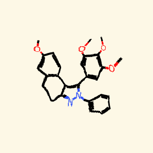 COc1ccc2c(c1)CCc1nn(-c3ccccc3)c(-c3cc(OC)c(OC)c(OC)c3)c1-2